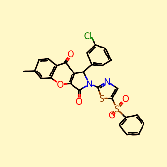 Cc1ccc2c(=O)c3c(oc2c1)C(=O)N(c1ncc(S(=O)(=O)c2ccccc2)s1)C3c1cccc(Cl)c1